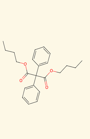 CCCCOC(=O)C(C(=O)OCCCC)(c1ccccc1)c1ccccc1